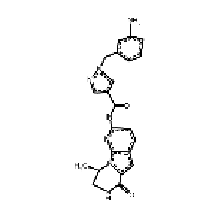 C[C@@H]1CNC(=O)c2cc3ccc(NC(=O)c4cnn(Cc5cccc(N)c5)c4)nc3n21